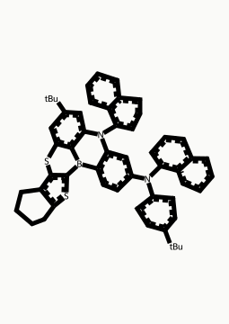 CC(C)(C)c1ccc(N(c2ccc3c(c2)N(c2cccc4ccccc24)c2cc(C(C)(C)C)cc4c2B3c2sc3c(c2S4)CCCC3)c2cccc3ccccc23)cc1